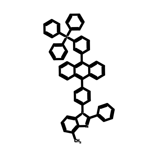 Cc1cccc2c1nc(-c1ccccc1)n2-c1ccc(-c2c3ccccc3c(-c3cccc([Si](c4ccccc4)(c4ccccc4)c4ccccc4)c3)c3ccccc23)cc1